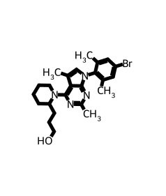 Cc1nc(N2CCCCC2CCCO)c2c(C)cn(-c3c(C)cc(Br)cc3C)c2n1